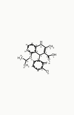 CC1=C(C(=O)O)C(c2cccc(Cl)c2F)c2c(ccnc2OC(C)C)N1